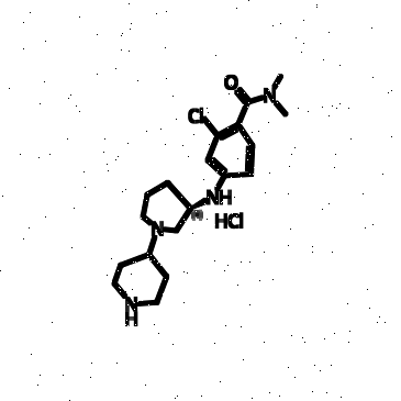 CN(C)C(=O)c1ccc(N[C@@H]2CCCN(C3CCNCC3)C2)cc1Cl.Cl